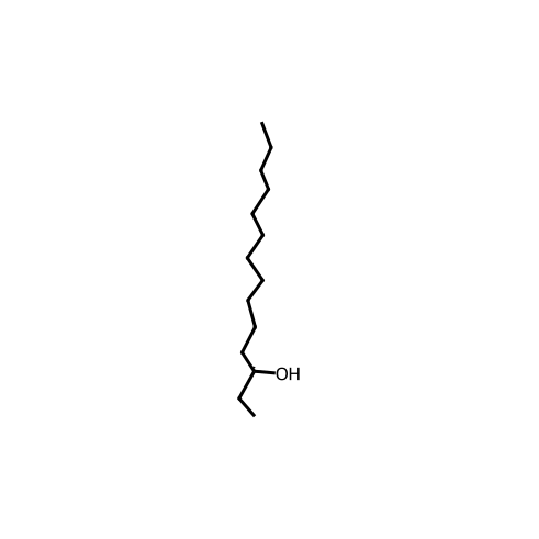 CCCCCCCCCCC[C](O)CC